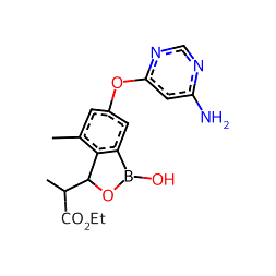 CCOC(=O)C(C)C1OB(O)c2cc(Oc3cc(N)ncn3)cc(C)c21